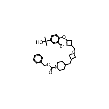 CC(C)(O)c1ccc(OC2CC(CN3CC(CC4CCN(C(=O)OCc5ccccc5)CC4)C3)C2)c(Br)c1